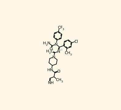 C=C(/N=C(/c1ccc(Cl)cc1C)N(C(N)=O)c1ccc(C(F)(F)F)cc1)N1CCC(NC(=O)C(C)C=N)CC1